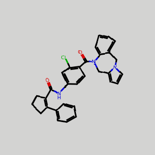 O=C(Nc1ccc(C(=O)N2Cc3cccn3Cc3ccccc32)c(Cl)c1)C1=C(c2ccccc2)CCC1